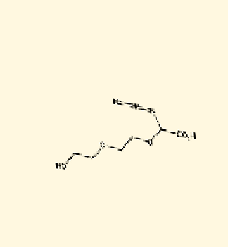 [N-]=[N+]=NC(OCCOCCO)C(=O)O